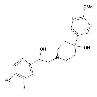 COc1ccc(C2(O)CCN(CC(O)c3ccc(O)c(F)c3)CC2)cn1